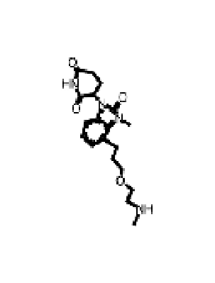 CNCCOCCCc1cccc2c1n(C)c(=O)n2C1CCC(=O)NC1=O